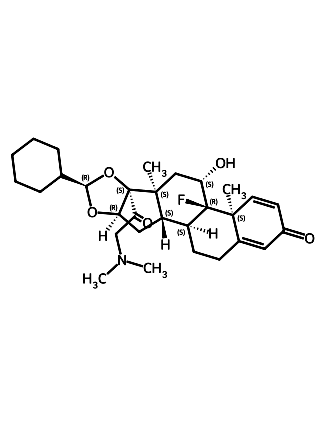 CN(C)CC(=O)[C@@]12O[C@H](C3CCCCC3)O[C@@H]1C[C@H]1[C@@H]3CCC4=CC(=O)C=C[C@]4(C)[C@@]3(F)[C@@H](O)C[C@@]12C